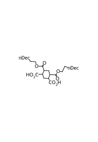 CCCCCCCCCCCCOC(=O)C1CC(C(=O)OCCCCCCCCCCCC)C(C(=O)O)CC1C(=O)O